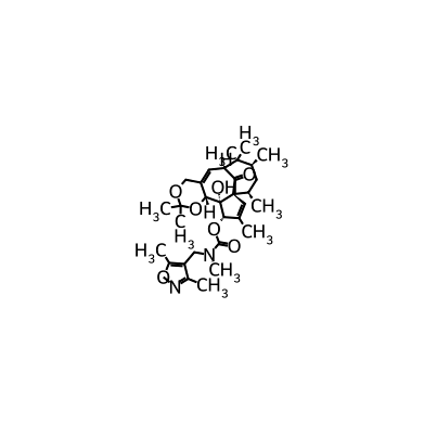 CC1=C[C@]23C(=O)[C@@H](C=C4COC(C)(C)O[C@H]4[C@]2(O)[C@H]1OC(=O)N(C)Cc1c(C)noc1C)C(C)(C)[C@@H](C)C[C@H]3C